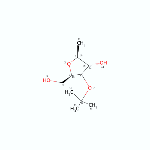 C[C@@H]1O[C@H](CO)C(OC(C)(C)C)[C@H]1O